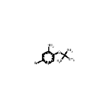 BC(B)(B)Oc1cnc(Br)cc1N